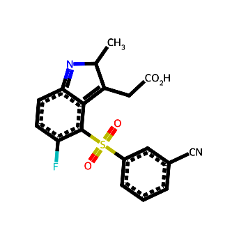 CC1N=c2ccc(F)c(S(=O)(=O)c3cccc(C#N)c3)c2=C1CC(=O)O